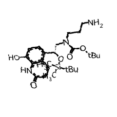 CC(C)(C)OC(=O)N(CCCN)C[C@H](O[Si](C)(C)C(C)(C)C)c1ccc(O)c2[nH]c(=O)ccc12